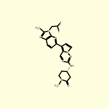 Cc1nc2ccc(-c3ccn4nc(N[C@H]5CCN(C)C(=O)C5)ncc34)nc2n1CC(F)F